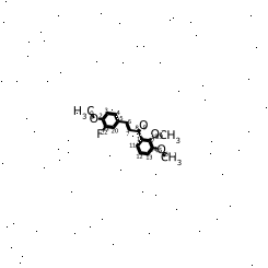 COc1ccc(C=CC(=O)c2cccc(OC)c2OC)cc1F